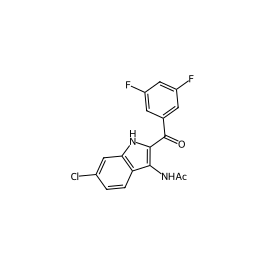 CC(=O)Nc1c(C(=O)c2cc(F)cc(F)c2)[nH]c2cc(Cl)ccc12